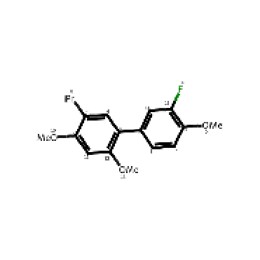 COc1ccc(-c2cc(C(C)C)c(OC)cc2OC)cc1F